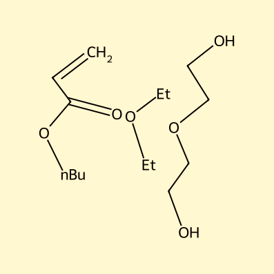 C=CC(=O)OCCCC.CCOCC.OCCOCCO